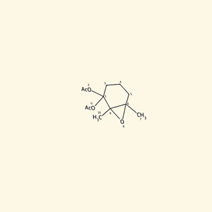 CC(=O)OC1(OC(C)=O)CCCC2(C)OC21C